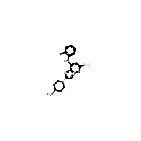 Cc1ccccc1Nc1cc(N)nn2cc([C@H]3CC[C@H](N)CC3)nc12